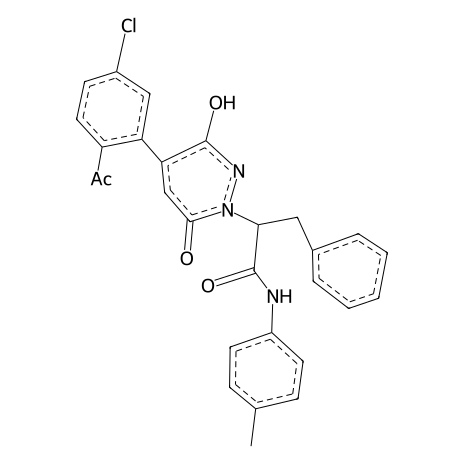 CC(=O)c1ccc(Cl)cc1-c1cc(=O)n(C(Cc2ccccc2)C(=O)Nc2ccc(C)cc2)nc1O